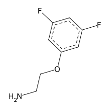 NCCOc1cc(F)cc(F)c1